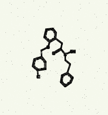 O=C(Cc1ccccc1OCc1ccc(Cl)cc1)N(O)CCc1ccccc1